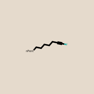 CCCCCCCCCCC#CF